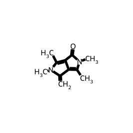 C=c1c2c(c(C)n1C)C(=O)N(C)C=2C